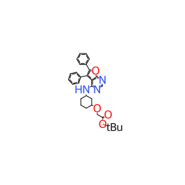 CC(C)(C)OC(=O)CO[C@H]1CCC[C@H](Nc2ncnc3oc(-c4ccccc4)c(-c4ccccc4)c23)C1